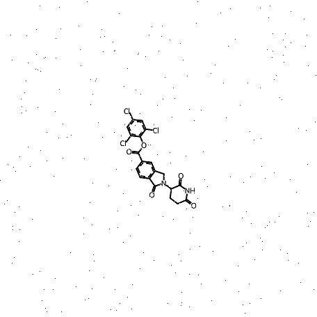 O=C1CCC(N2Cc3cc(C(=O)Oc4c(Cl)cc(Cl)cc4Cl)ccc3C2=O)C(=O)N1